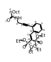 CCCCCCCCC(=O)NCC#Cc1ccccc1C=C(P(=O)(OCC)OCC)P(=O)(OCC)OCC